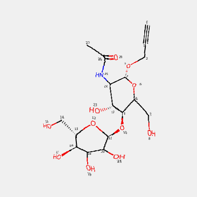 C#CCO[C@@H]1OC(CO)[C@@H](O[C@@H]2O[C@@H](CO)[C@H](O)C(O)C2O)[C@H](O)C1NC(C)=O